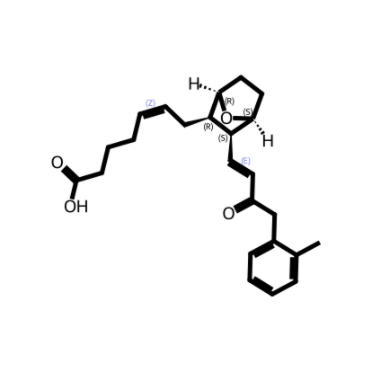 Cc1ccccc1CC(=O)/C=C/[C@H]1[C@@H](C/C=C\CCCC(=O)O)[C@H]2CC[C@@H]1O2